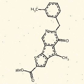 COC(=O)c1cc2c(s1)c1cnn(Cc3cccc(C)c3)c(=O)c1n2C